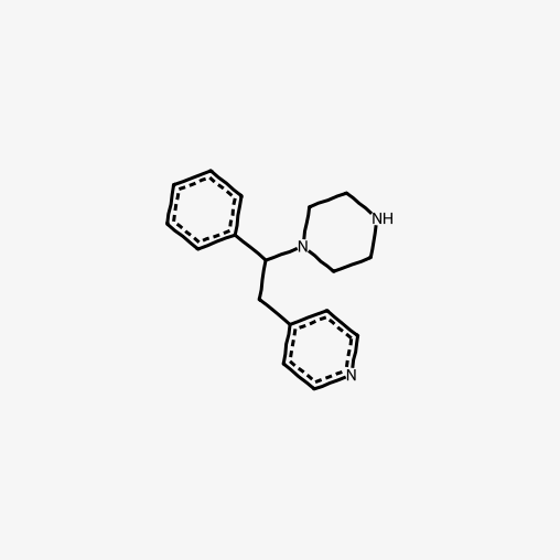 c1ccc(C(Cc2ccncc2)N2CCNCC2)cc1